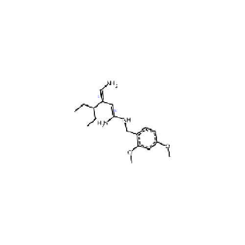 CCC(CC)C(=C/N)/C=C(\N)NCc1ccc(OC)cc1OC